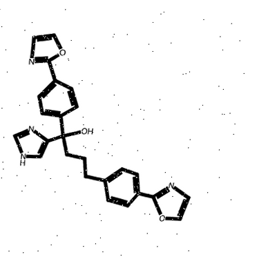 OC(CCCc1ccc(-c2ncco2)cc1)(c1ccc(-c2ncco2)cc1)c1c[nH]cn1